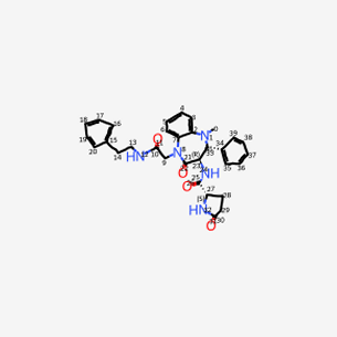 CN1c2ccccc2N(CC(=O)NCCc2ccccc2)C(=O)[C@H](NC(=O)[C@@H]2CCC(=O)N2)[C@H]1c1ccccc1